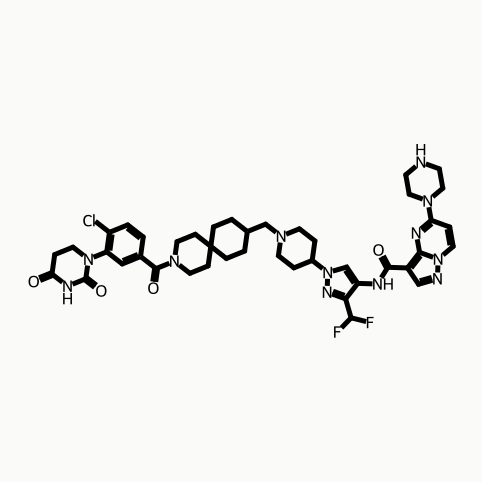 O=C1CCN(c2cc(C(=O)N3CCC4(CCC(CN5CCC(n6cc(NC(=O)c7cnn8ccc(N9CCNCC9)nc78)c(C(F)F)n6)CC5)CC4)CC3)ccc2Cl)C(=O)N1